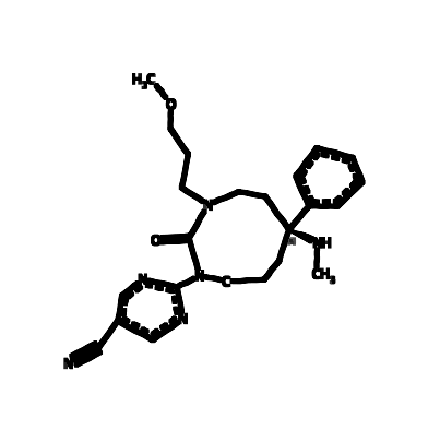 CN[C@@]1(c2ccccc2)CCCN(c2ncc(C#N)cn2)C(=O)N(CCCOC)CC1